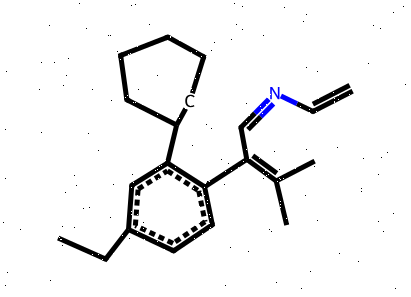 C=C/N=C\C(=C(C)C)c1ccc(CC)cc1C1CCCCC1